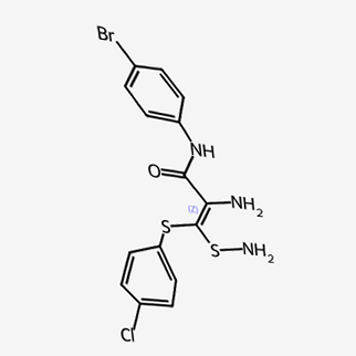 NS/C(Sc1ccc(Cl)cc1)=C(\N)C(=O)Nc1ccc(Br)cc1